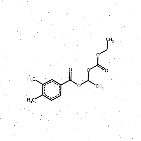 CCOC(=O)OC(C)OC(=O)c1ccc(C)c(C)c1